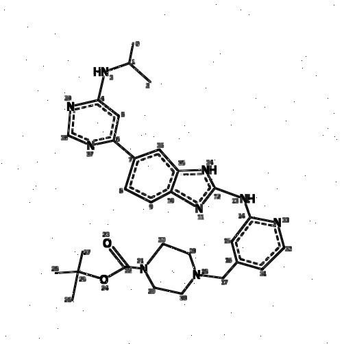 CC(C)Nc1cc(-c2ccc3nc(Nc4cc(CN5CCN(C(=O)OC(C)(C)C)CC5)ccn4)[nH]c3c2)ncn1